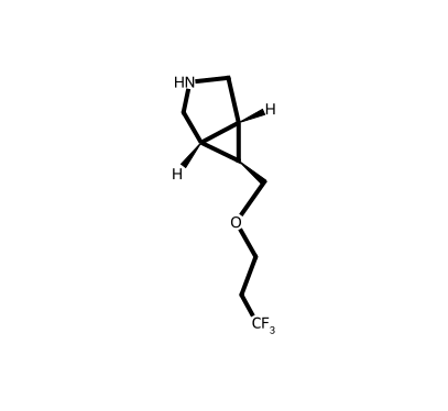 FC(F)(F)CCOC[C@H]1[C@@H]2CNC[C@@H]21